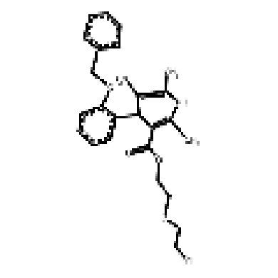 CC1=C(C(=O)OCCOCCCl)C(c2ccccc2OCc2ccccc2)C([N+](=O)[O-])=C(C)N1